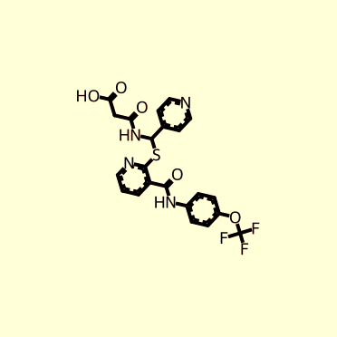 O=C(O)CC(=O)NC(Sc1ncccc1C(=O)Nc1ccc(OC(F)(F)F)cc1)c1ccncc1